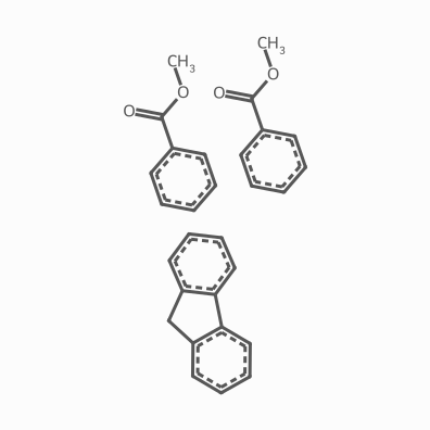 COC(=O)c1ccccc1.COC(=O)c1ccccc1.c1ccc2c(c1)Cc1ccccc1-2